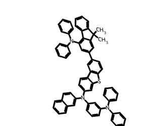 CC1(C)c2ccccc2-c2c(N(c3ccccc3)c3ccccc3)cc(-c3ccc4sc5cc(N(c6cccc(N(c7ccccc7)c7ccccc7)c6)c6ccc7ccccc7c6)ccc5c4c3)cc21